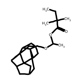 CCC(C)(C)C(=O)OC(C)OCC12CC3CC4C5CC6CC1C5C4(C3)C2C6